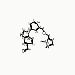 Cn1nccc1COCc1cccc(-n2cnc3cc(C=O)ccc32)c1